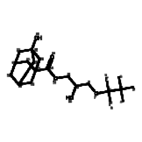 CC(C)(C)C(F)(F)OCC(O)COC(=O)C12CC3CC(CC(O)(C3)C1)C2